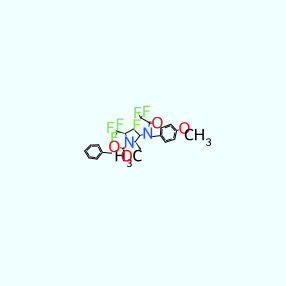 CC[C@@H]1[C@H](N(Cc2ccc(OC)cc2)C(=O)C(F)(F)F)C[C@H](C(F)(F)F)N1C(=O)OCc1ccccc1